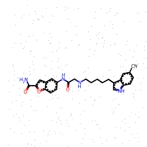 N#Cc1ccc2[nH]cc(CCCCCNCC(=O)Nc3ccc4oc(C(N)=O)cc4c3)c2c1